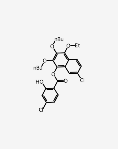 CCCCOc1c(OCCCC)c(OC(=O)c2ccc(Cl)cc2O)c2cc(Cl)ccc2c1OCC